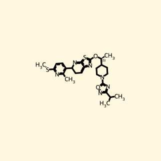 CSc1ccc(C2CC=c3nc(O[C@@H](C)C4CCN(c5nc(C(C)C)no5)CC4)sc3=N2)c(C)n1